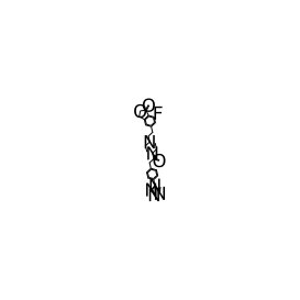 O=C1OCc2cc(CCN3CCN(C(=O)Cc4ccc(-n5cnnn5)cc4)CC3)cc(F)c21